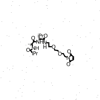 CC(C)C(=O)N[C@H](C)C(=O)N[C@@H](C(=O)NCCOCCOCCN1C(=O)C=CC1=O)C(C)C